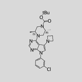 C[C@@H]1CN(c2ncnc3c2c(N2CCC2)cn3-c2cccc(Cl)c2)[C@@H](C)CN1C(=O)OC(C)(C)C